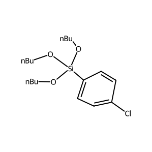 CCCCO[Si](OCCCC)(OCCCC)c1ccc(Cl)cc1